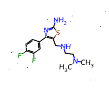 CN(C)CCNCc1sc(N)nc1-c1ccc(F)c(F)c1